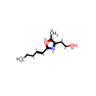 CCCC=Cc1nc(CCO)c(C)o1